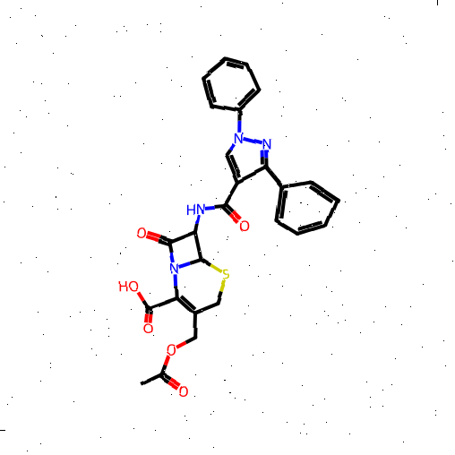 CC(=O)OCC1=C(C(=O)O)N2C(=O)C(NC(=O)c3cn(-c4ccccc4)nc3-c3ccccc3)C2SC1